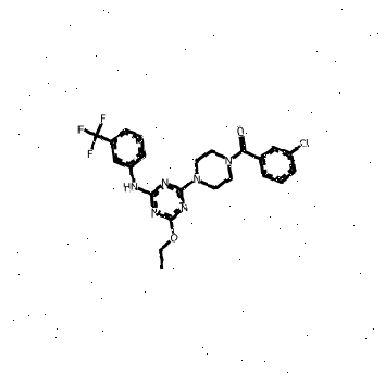 CCOc1nc(Nc2cccc(C(F)(F)F)c2)nc(N2CCN(C(=O)c3cccc(Cl)c3)CC2)n1